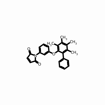 Cc1c(C)c(C)c(-c2ccccc2)c(Oc2cccc(N3C(=O)C=CC3=O)c2)c1C